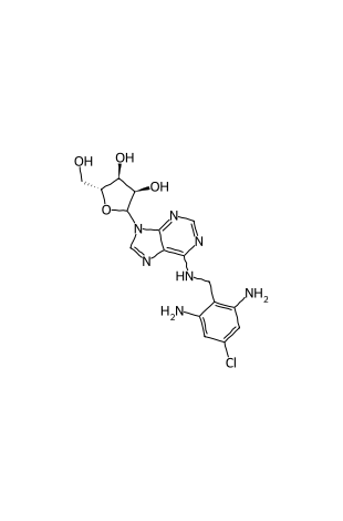 Nc1cc(Cl)cc(N)c1CNc1ncnc2c1ncn2C1O[C@H](CO)[C@@H](O)[C@H]1O